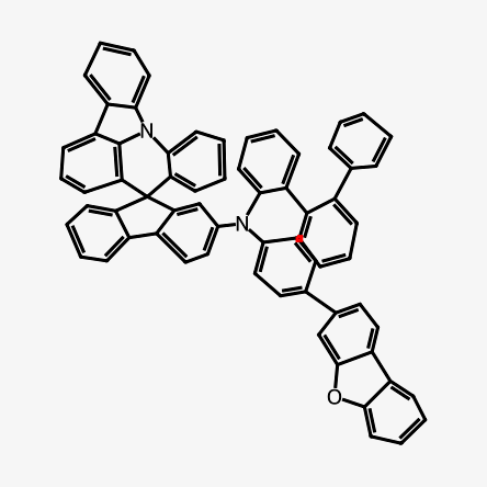 c1ccc(-c2ccccc2-c2ccccc2N(c2ccc(-c3ccc4c(c3)oc3ccccc34)cc2)c2ccc3c(c2)C2(c4ccccc4-3)c3ccccc3-n3c4ccccc4c4cccc2c43)cc1